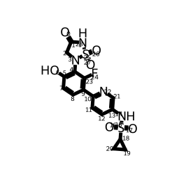 O=C1CN(c2c(O)ccc(-c3ccc(NS(=O)(=O)C4CC4)cn3)c2F)S(=O)(=O)N1